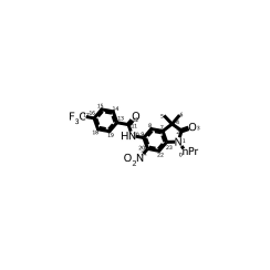 CCCN1C(=O)C(C)(C)c2cc(NC(=O)c3ccc(C(F)(F)F)cc3)c([N+](=O)[O-])cc21